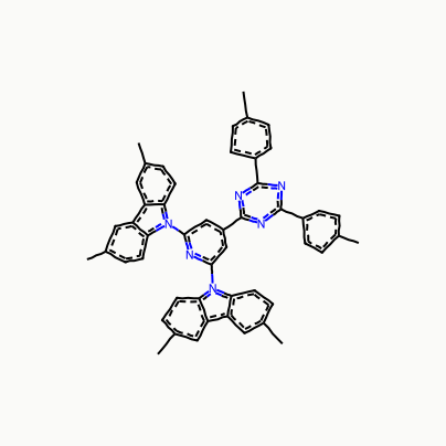 Cc1ccc(-c2nc(-c3ccc(C)cc3)nc(-c3cc(-n4c5ccc(C)cc5c5cc(C)ccc54)nc(-n4c5ccc(C)cc5c5cc(C)ccc54)c3)n2)cc1